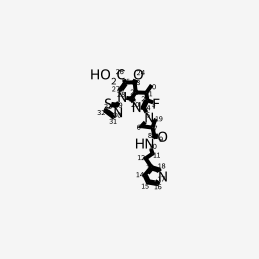 CC1C(F)=C(N2CC(C(=O)NCCc3cccnc3)C2)N=C2C1C(=O)C(C(=O)O)=CN2c1nccs1